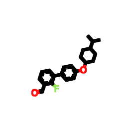 CC(C)C1CCC(Oc2ccc(-c3cccc(C=O)c3F)cc2)CC1